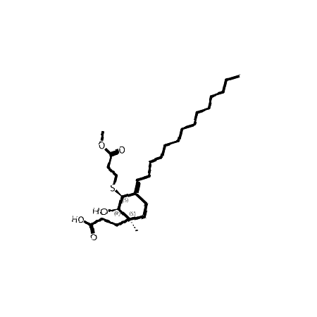 CCCCCCCCCCCCCC=C1CC[C@@](C)(CCC(=O)O)[C@@H](O)[C@H]1SCCC(=O)OC